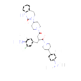 Cc1cc(N(C)C)ccc1C1CCN(C(=O)C(CC(=O)N2CCC(N3CCc4ccccc4NC3=O)CC2)Cc2cc(Cl)c(N)c(C(F)(F)F)c2)CC1